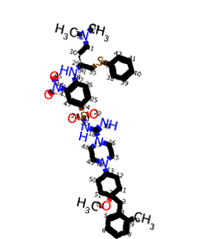 COC1(Cc2ccccc2C)CCC(N2CCN(C(=N)NS(=O)(=O)c3ccc(N[C@H](CCN(C)C)CSc4ccccc4)c([N+](=O)[O-])c3)CC2)CC1